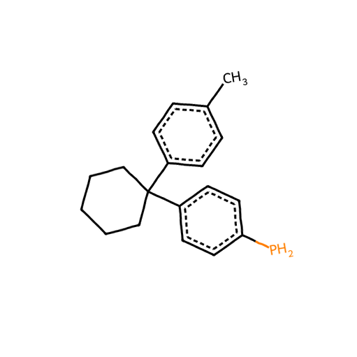 Cc1ccc(C2(c3ccc(P)cc3)CCCCC2)cc1